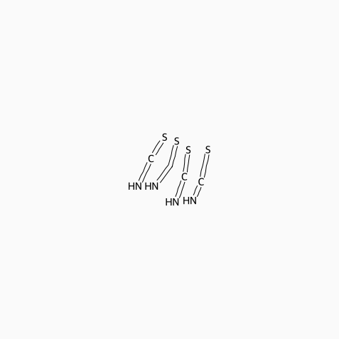 N=C=S.N=C=S.N=C=S.N=C=S